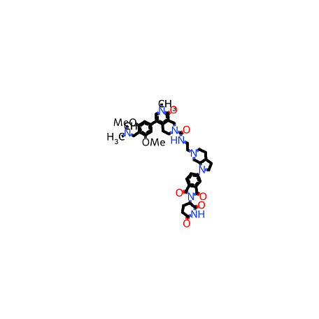 COc1cc(-c2cn(C)c(=O)c3c2CCN(C(=O)NCCN2CCC4CCN(c5ccc6c(c5)C(=O)N(C5CCC(=O)NC5=O)C6=O)C4C2)C3)cc(OC)c1CN(C)C